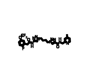 Cc1ccnc(CNC(=O)c2cn(CCCCn3cc(NC(=O)Cc4cc(OC(F)(F)F)ccc4F)nn3)nn2)c1